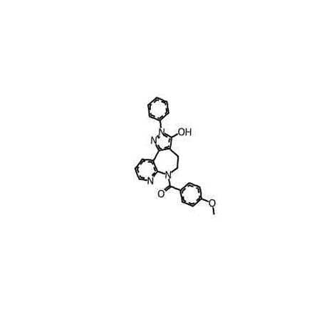 COc1ccc(C(=O)N2CCc3c(nn(-c4ccccc4)c3O)-c3cccnc32)cc1